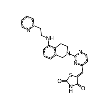 O=C1NC(=O)C(=Cc2ccnc(N3CCc4c(cccc4NCCc4ccccn4)C3)n2)S1